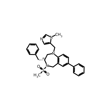 Cn1cncc1CN1C[C@@H](Cc2ccccc2)N(S(C)(=O)=O)Cc2cc(-c3ccccc3)ccc21